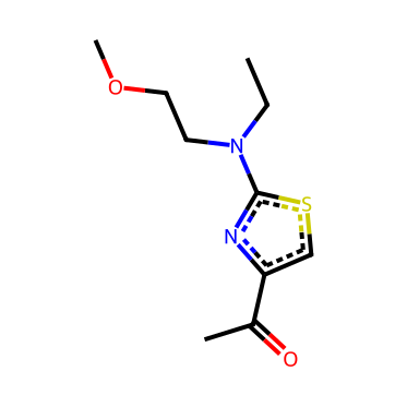 CCN(CCOC)c1nc(C(C)=O)cs1